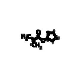 C=C(C)C(=O)OC1CSCS1